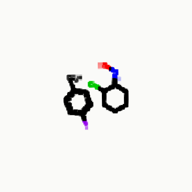 O/N=C1/CCCCC1Cl.O=C(O)c1ccc(I)cc1